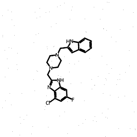 Fc1cc(Cl)c2nc(CN3CCN(Cc4cc5ccccc5[nH]4)CC3)[nH]c2c1